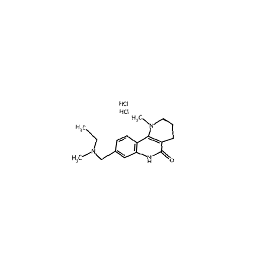 CCN(C)Cc1ccc2c3c(c(=O)[nH]c2c1)CCCN3C.Cl.Cl